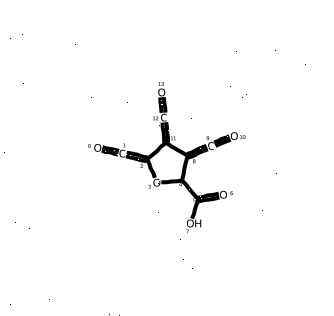 O=C=C1OC(C(=O)O)C(=C=O)C1=C=O